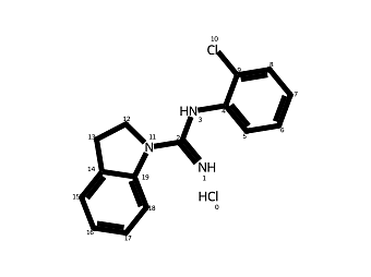 Cl.N=C(Nc1ccccc1Cl)N1CCc2ccccc21